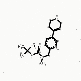 CN(Cc1ccc(C2=CCOCC2)cn1)C(=O)OC(C)(C)C